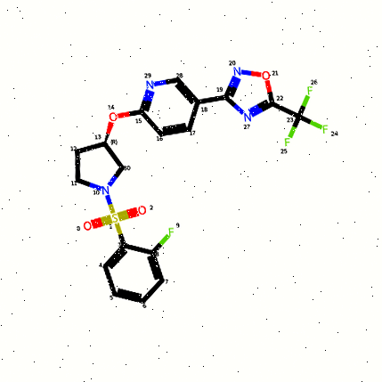 O=S(=O)(c1ccccc1F)N1CC[C@@H](Oc2ccc(-c3noc(C(F)(F)F)n3)cn2)C1